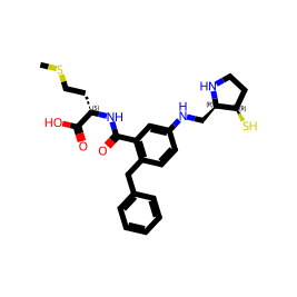 CSCC[C@H](NC(=O)c1cc(NC[C@H]2NCC[C@H]2S)ccc1Cc1ccccc1)C(=O)O